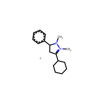 CN1C(c2ccccc2)CC(C2CCCCC2)=[N+]1C.[I-]